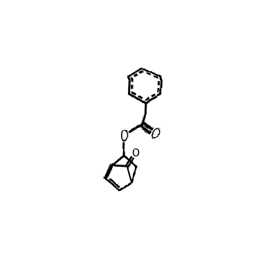 O=C(OC1CC2C=CC1C2=O)c1ccccc1